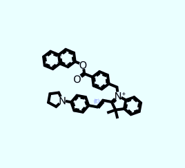 CC1(C)C(/C=C/c2ccc(N3CCCC3)cc2)=[N+](Cc2ccc(C(=O)Oc3ccc4ccccc4c3)cc2)c2ccccc21